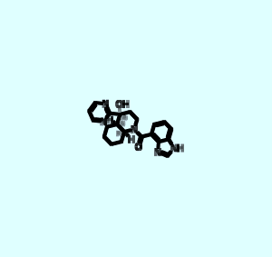 O=C(c1cccc2[nH]cnc12)N1CC[C@](O)(c2ncccn2)[C@H]2CCCC[C@H]21